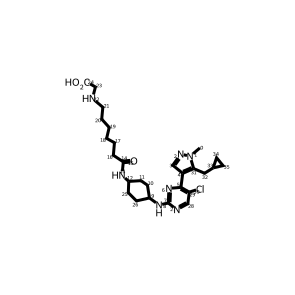 Cn1ncc(-c2nc(NC3CCC(NC(=O)CCCCCCNCC(=O)O)CC3)ncc2Cl)c1CC1CC1